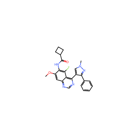 COc1cc2ncnc(-c3cn(C)nc3-c3ccccc3)c2c(F)c1NC(=O)C1CCC1